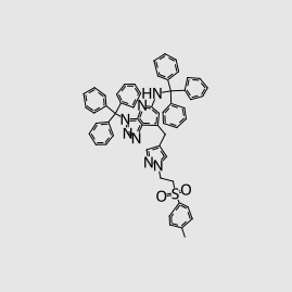 Cc1ccc(S(=O)(=O)CCn2cc(Cc3cc(NC(c4ccccc4)(c4ccccc4)c4ccccc4)nc4c3nnn4C(c3ccccc3)(c3ccccc3)c3ccccc3)cn2)cc1